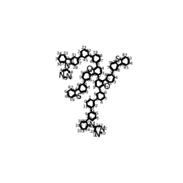 c1cc(-c2cccc(-c3ccc(-c4ccc(-c5cccc(-c6cccc(-c7ccc8c(c7)c7ccccc7n8-c7cncnc7)c6)c5)c5oc6ccc(-c7ccc8sc9ccccc9c8c7)cc6c45)c4c3oc3ccc(-c5ccc6sc7ccccc7c6c5)cc34)c2)cc(-c2ccc3c(c2)c2ccccc2n3-c2cncnc2)c1